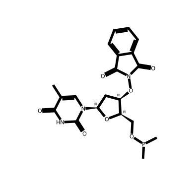 Cc1cn([C@H]2C[C@@H](ON3C(=O)c4ccccc4C3=O)[C@@H](COP(C)C)O2)c(=O)[nH]c1=O